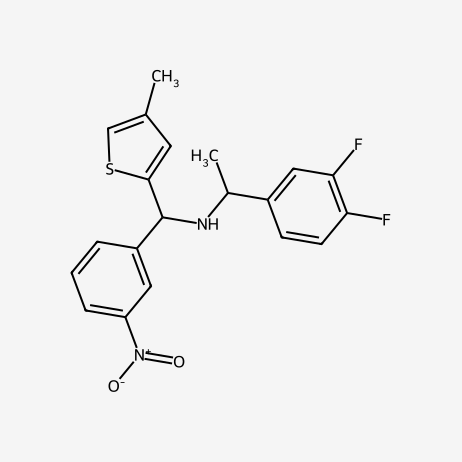 Cc1csc(C(NC(C)c2ccc(F)c(F)c2)c2cccc([N+](=O)[O-])c2)c1